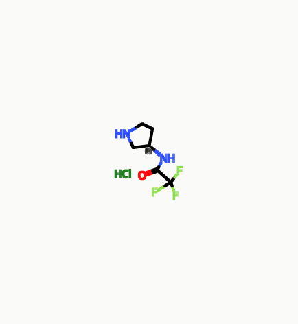 Cl.O=C(N[C@@H]1CCNC1)C(F)(F)F